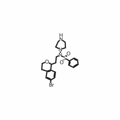 O=S(=O)(c1ccccc1)N(CCC1OCCc2cc(Br)ccc21)N1CCNCC1